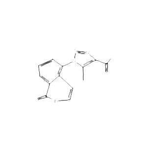 Cc1c(C(=O)O)nnn1-c1cccc2c(=O)[nH]ccc12